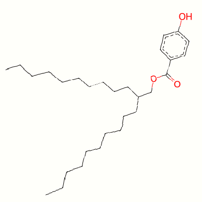 CCCCCCCCCCC(CCCCCCCCCC)COC(=O)c1ccc(O)cc1